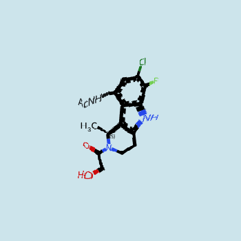 CC(=O)Nc1cc(Cl)c(F)c2[nH]c3c(c12)[C@H](C)N(C(=O)CO)CC3